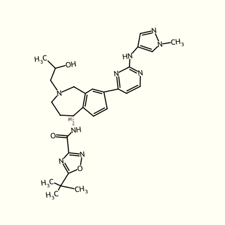 CC(O)CN1CC[C@@H](NC(=O)c2noc(C(C)(C)C)n2)c2ccc(-c3ccnc(Nc4cnn(C)c4)n3)cc2C1